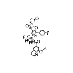 C[C@]1(C(=O)N2CCC(=O)C2)COc2c1cc([C@](O)(CNC(=O)c1cc(OC3CC3)c3ncccc3c1)C(F)(F)F)nc2-c1ccc(F)cc1